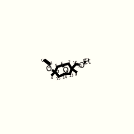 C=COC1(C)CC2CC(C)(COCC)CC(C1)O2